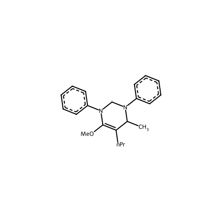 CCCC1=C(OC)N(c2ccccc2)[CH]N(c2ccccc2)C1C